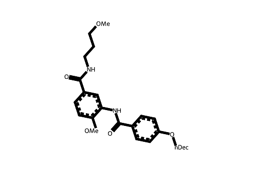 CCCCCCCCCCOc1ccc(C(=O)Nc2cc(C(=O)NCCCOC)ccc2OC)cc1